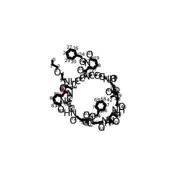 CCCOCCNC(=O)C1CCCN(C(=O)c2cccc(=O)n2OCc2ccccc2)CCCNC(=O)c2ccc(n(C)c2=O)C(=O)N[C@@H]2COC[C@@H]2NC(=O)c2ccc(c(=O)n2OCc2ccccc2)C(=O)NCCCN1C(=O)c1cccc(=O)n1C